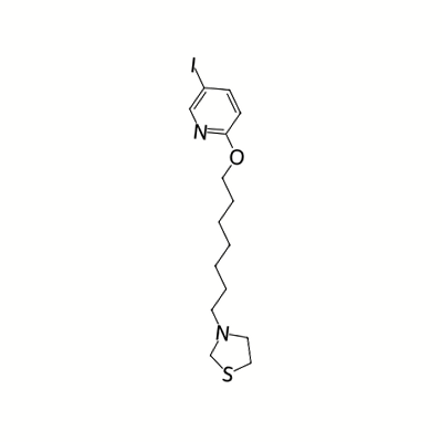 Ic1ccc(OCCCCCCCN2CCSC2)nc1